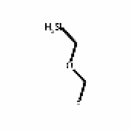 FCOC[SiH3]